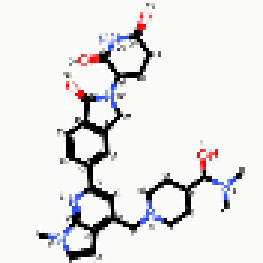 CN(C)C(O)C1CCN(Cc2cc(-c3ccc4c(c3)CN(C3CCC(=O)NC3=O)C4=O)nc3c2ccn3C)CC1